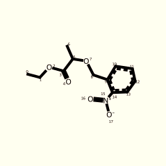 CCOC(=O)C(C)OCc1ccccc1[N+](=O)[O-]